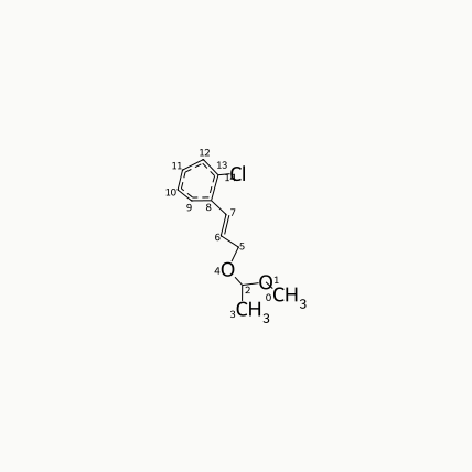 COC(C)OCC=Cc1ccccc1Cl